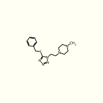 CN1CCN(CCn2nnnc2SCc2ccccc2)CC1